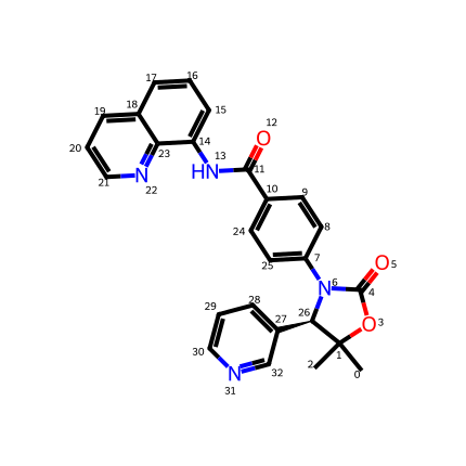 CC1(C)OC(=O)N(c2ccc(C(=O)Nc3cccc4cccnc34)cc2)[C@@H]1c1cccnc1